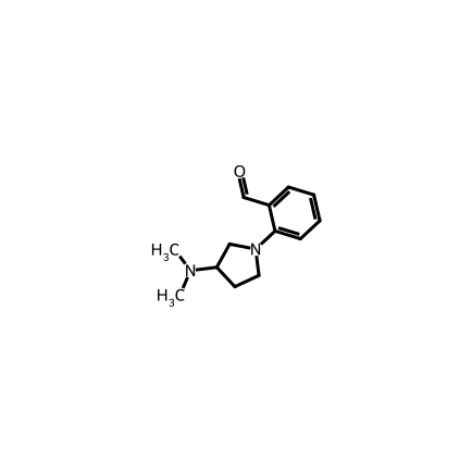 CN(C)C1CCN(c2ccccc2C=O)C1